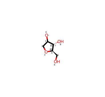 [O]C1CO[C@H](CO)[C@H]1O